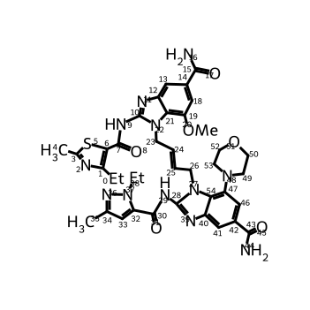 CCc1nc(C)sc1C(=O)Nc1nc2cc(C(N)=O)cc(OC)c2n1CC=CCn1c(NC(=O)c2cc(C)nn2CC)nc2cc(C(N)=O)cc(N3CCOCC3)c21